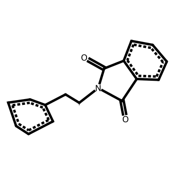 O=C1c2ccccc2C(=O)N1[CH]Cc1ccccc1